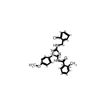 COc1ccc(-n2nc(NCc3ccccc3Cl)nc2NC(=O)c2ccccc2C)cc1